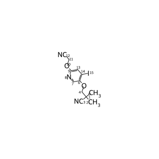 CC(C)(C#N)COc1cnc(OCC#N)cc1I